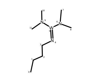 CCCC[N]=[W]([N](C)C)[N](C)C